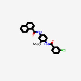 COc1cc(NC(=O)c2cccc3ccccc23)ccc1NC(=O)c1cccc(Cl)c1